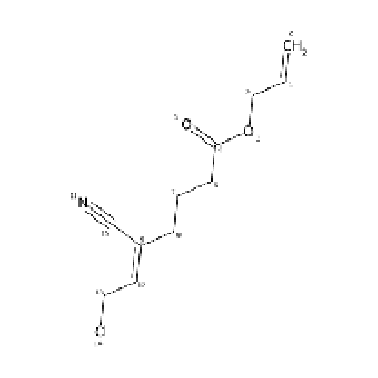 C=CCOC(=O)CCCC(C#N)=CCCl